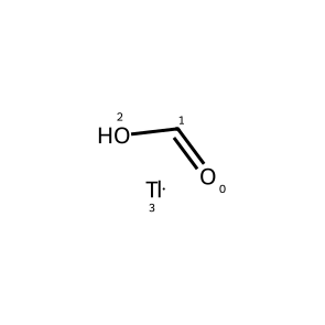 O=CO.[Tl]